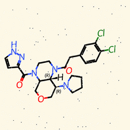 O=C(c1cc[nH]n1)N1CCN(C(=O)Cc2ccc(Cl)c(Cl)c2)[C@H]2C1COC[C@@H]2N1CCCC1